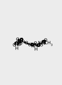 Cn1nc(-c2nc3cc(NC(=O)c4ccc(OCCOCCNc5cccc6c5C(=O)N(C5CCC(=O)NC5=O)C6=O)cn4)ccc3o2)ccc1=O